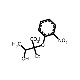 CCC(Oc1ccccc1[N+](=O)[O-])(C(=O)O)C(C)O